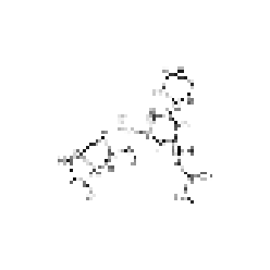 COC(=O)CNc1cc(C(=O)N(C)c2ccc3[nH]cc(C)c3c2)nc(N2CCOCC2)n1